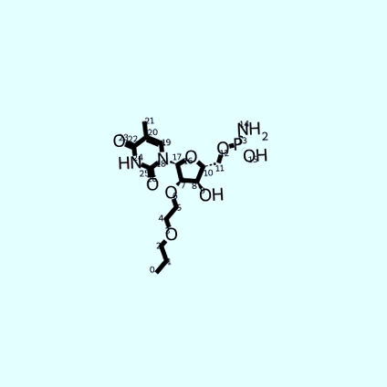 CCCOCCO[C@@H]1[C@H](O)[C@@H](COP(N)O)O[C@H]1n1cc(C)c(=O)[nH]c1=O